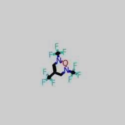 FC(F)(F)C1=CN(C(F)(F)F)ON(C(F)(F)F)C1